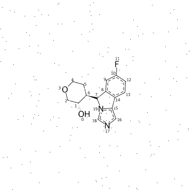 O[C@@H]1COCC[C@H]1C1c2cc(F)ccc2-c2cncn21